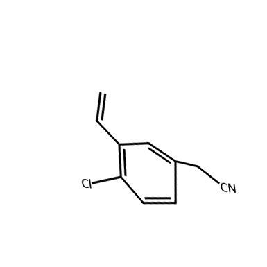 C=Cc1cc(CC#N)ccc1Cl